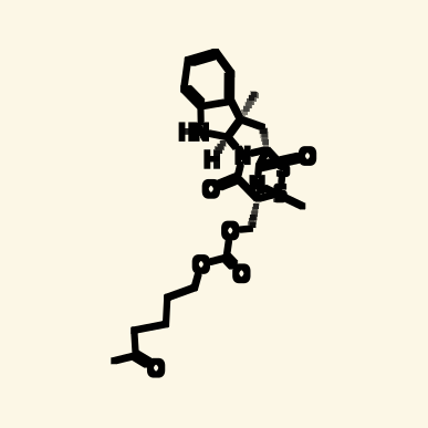 CC(=O)CCCCOC(=O)OC[C@]12SS[C@@]3(C[C@]4(C)c5ccccc5N[C@@H]4N3C1=O)C(=O)N2C